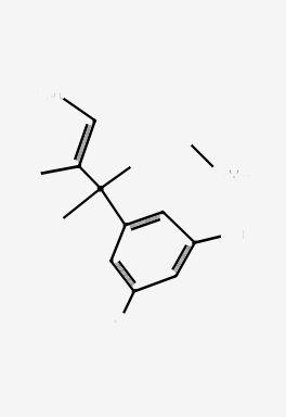 CCCCC=C(C)C(C)(C)c1cc(O)cc(O)c1.COC